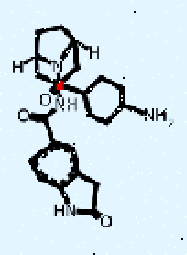 NC1CCC(C(=O)N2[C@@H]3CC[C@H]2C[C@H](NC(=O)c2ccc4c(c2)CC(=O)N4)C3)CC1